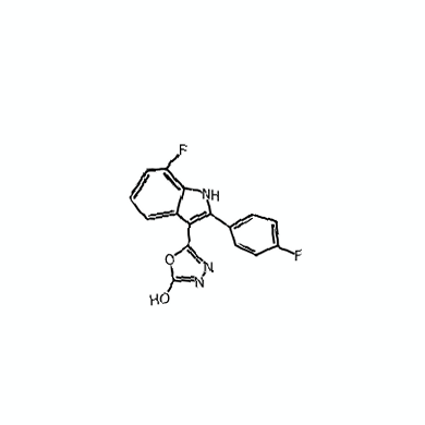 Oc1nnc(-c2c(-c3ccc(F)cc3)[nH]c3c(F)cccc23)o1